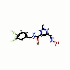 Cc1nc(/C=N/O)cc(C(=O)NCc2ccc(F)c(F)c2)n1